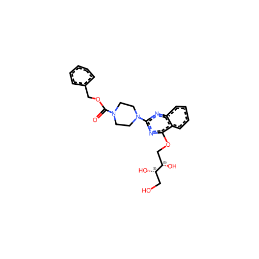 O=C(OCc1ccccc1)N1CCN(c2nc(OC[C@H](O)[C@@H](O)CO)c3ccccc3n2)CC1